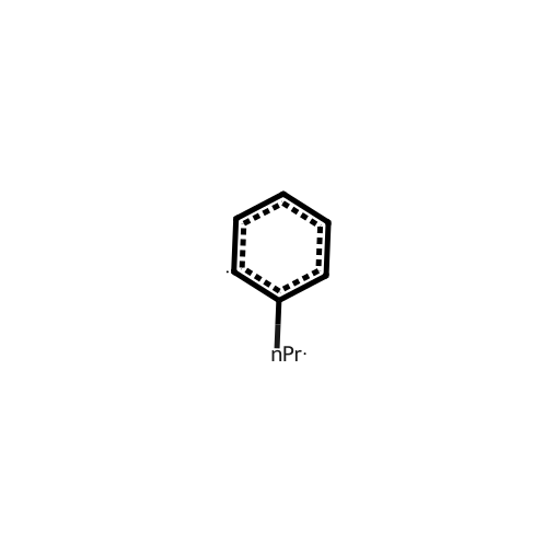 CC[CH]c1[c]cccc1